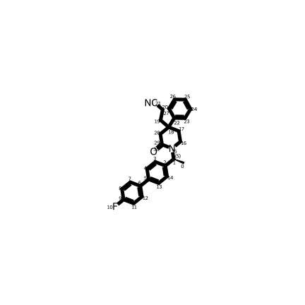 C[C@@H](c1ccc(-c2ccc(F)cc2)cc1)N1CCC(CCC#N)(c2ccccc2)CC1=O